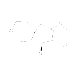 N[C@@H]1c2cccnc2CC12CCNCC2